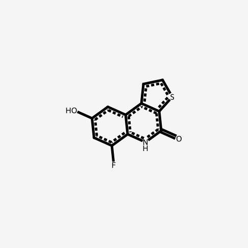 O=c1[nH]c2c(F)cc(O)cc2c2ccsc12